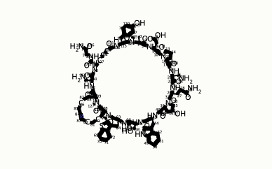 C[C@H]1C(=O)N[C@@H](CC(=O)O)C(=O)N2CCC[C@H]2C(=O)N[C@@H](CN)C(=O)N[C@@H](CCC(N)=O)C(=O)N2C[C@H](O)C[C@H]2C(=O)N[C@@H](Cc2c[nH]c3ccccc23)C(=O)N[C@@H](CO)C(=O)N[C@@H](Cc2csc3ccccc23)C(=O)N(C)[C@H]2CCCC/C=C\CCCCC(C(=O)N[C@@H](CN)C(=O)N[C@H](C(=O)NCC(N)=O)CSCC(=O)N[C@@H](Cc3ccc(O)cc3)C(=O)N1C)N(C)C2=O